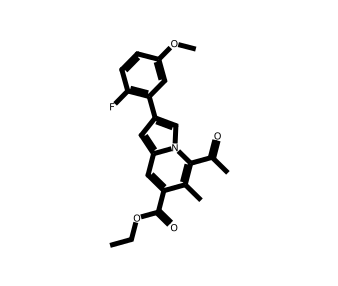 CCOC(=O)c1cc2cc(-c3cc(OC)ccc3F)cn2c(C(C)=O)c1C